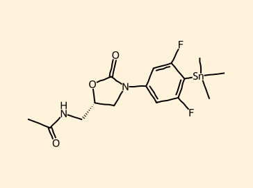 CC(=O)NC[C@H]1CN(c2cc(F)[c]([Sn]([CH3])([CH3])[CH3])c(F)c2)C(=O)O1